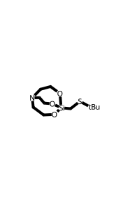 CC(C)(C)SC[Si]12OCCN(CCO1)CCO2